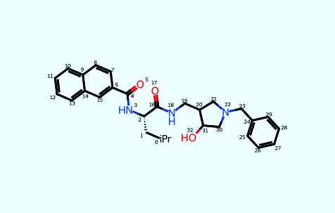 CC(C)C[C@H](NC(=O)c1ccc2ccccc2c1)C(=O)NCC1CN(Cc2ccccc2)CC1O